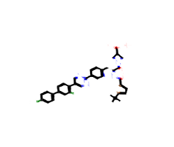 CC(C)(C)c1ccc(C(=O)N[C@@H](Cc2ccc(-c3ncc(-c4ccc(-c5ccc(Cl)cc5)cc4F)cn3)cc2)C(=O)N2CC(C(=O)O)C2)s1